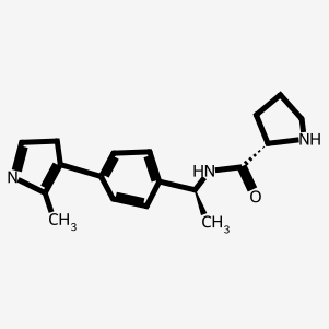 CC1=C(c2ccc([C@H](C)NC(=O)[C@@H]3CCCN3)cc2)CC=N1